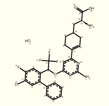 Cl.Nc1nc(OC(c2cc(F)c(Cl)cc2-c2ccccc2)C(F)(F)F)cc(C2=CCC(C[C@H](N)C(=O)O)CC2)n1